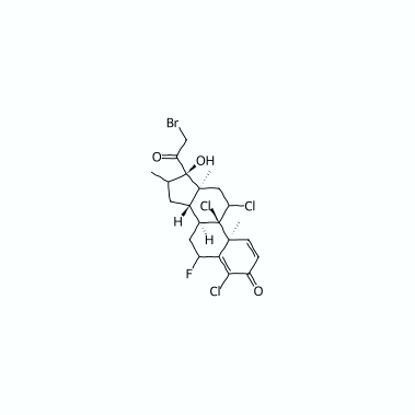 CC1C[C@H]2[C@@H]3CC(F)C4=C(Cl)C(=O)C=C[C@]4(C)[C@@]3(Cl)C(Cl)C[C@]2(C)[C@@]1(O)C(=O)CBr